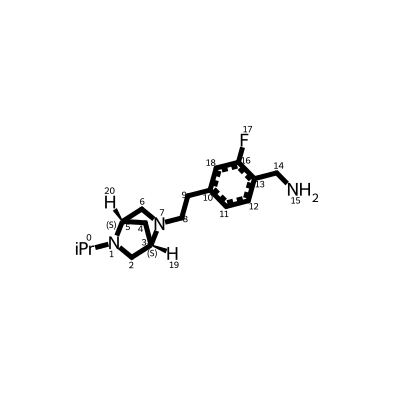 CC(C)N1C[C@@H]2C[C@H]1CN2CCc1ccc(CN)c(F)c1